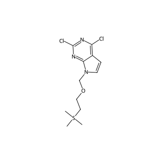 CS(C)(C)CCOCn1ccc2c(Cl)nc(Cl)nc21